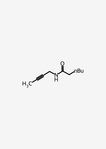 CC#CCNC(=O)CCCCC